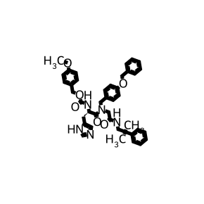 COc1ccc(COC(=O)N[C@@H](Cc2cnc[nH]2)C(=O)N(CC(=O)NCC(C)(C)c2ccccc2)Cc2ccc(OCc3ccccc3)cc2)cc1